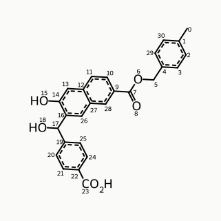 Cc1ccc(COC(=O)c2ccc3cc(O)c(C(O)c4ccc(C(=O)O)cc4)cc3c2)cc1